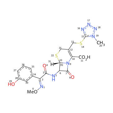 CON=C(C(=O)NC1C(=O)N2C(C(=O)O)=C(CSc3nnnn3C)CS[C@@H]12)c1cccc(O)c1